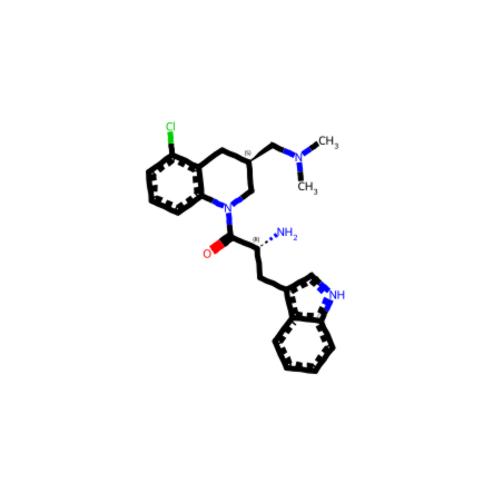 CN(C)C[C@@H]1Cc2c(Cl)cccc2N(C(=O)[C@H](N)Cc2c[nH]c3ccccc23)C1